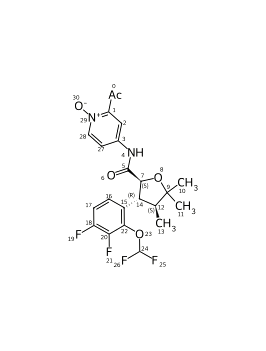 CC(=O)c1cc(NC(=O)[C@H]2OC(C)(C)[C@@H](C)[C@@H]2c2ccc(F)c(F)c2OC(F)F)cc[n+]1[O-]